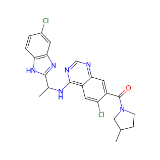 CC1CCN(C(=O)c2cc3ncnc(NC(C)c4nc5cc(Cl)ccc5[nH]4)c3cc2Cl)C1